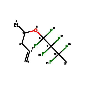 C=CCC(CC)OC(F)(F)C(F)(F)C(C)(F)F